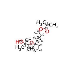 C=C(C)C(=O)OC1CC2CC1CC2C1(OC(C)C(C)(O)C(F)(F)F)CCCC1